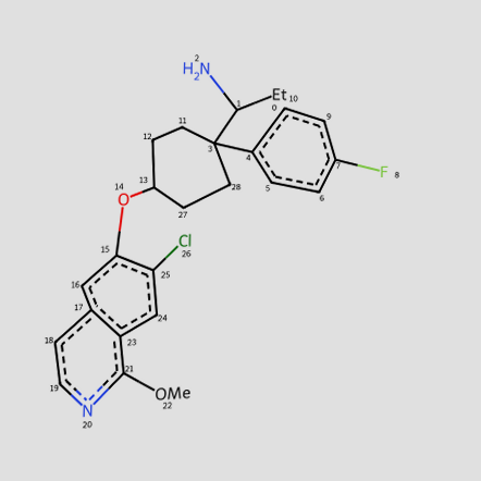 CCC(N)C1(c2ccc(F)cc2)CCC(Oc2cc3ccnc(OC)c3cc2Cl)CC1